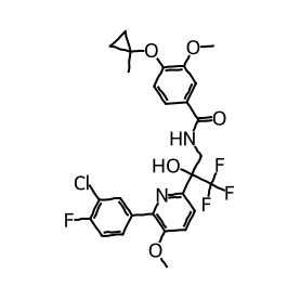 COc1cc(C(=O)NCC(O)(c2ccc(OC)c(-c3ccc(F)c(Cl)c3)n2)C(F)(F)F)ccc1OC1(C)CC1